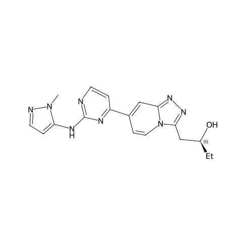 CC[C@H](O)Cc1nnc2cc(-c3ccnc(Nc4ccnn4C)n3)ccn12